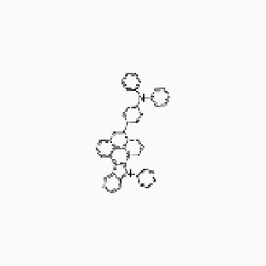 c1ccc(N(c2ccccc2)c2ccc(-c3cc4cccc5c4c4c3cccc4c3c5c4ccccc4n3-c3ccccc3)cc2)cc1